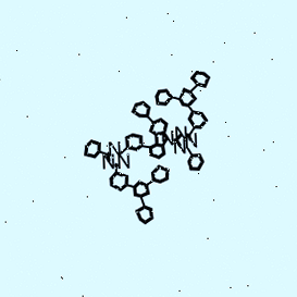 c1ccc(-c2cc(-c3ccccc3)cc(-c3cccc(-c4nc(-c5ccccc5)nc(-c5cccc(-c6cccc7c6c6cc(-c8ccccc8)ccc6n7-c6nc(-c7ccccc7)nc(-c7cccc(-c8cc(-c9ccccc9)cc(-c9ccccc9)c8)c7)n6)c5)n4)c3)c2)cc1